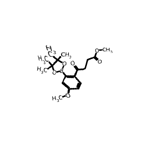 COC(=O)CCC(=O)c1ccc(OC)cc1B1OC(C)(C)C(C)(C)O1